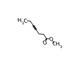 [CH2]CC#CCCC(=O)OC